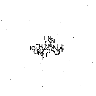 CC(C)(O)c1nc(C(F)F)c(C(=O)N2CCc3[nH]cnc3[C@H]2c2cc3cccc(C(F)(F)F)n3n2)o1